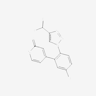 O=c1cc(-c2cc(Cl)ccc2-n2cc(C(F)F)nn2)cc[nH]1